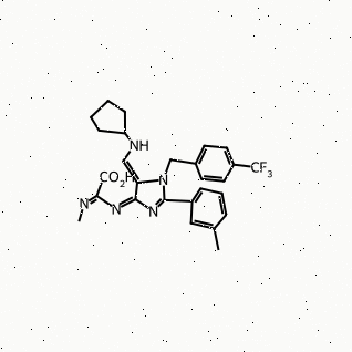 C\N=C(/N=C1/N=C(c2cccc(C)c2)N(Cc2ccc(C(F)(F)F)cc2)/C1=C\NC1CCCC1)C(=O)O